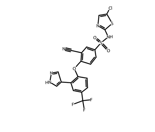 N#Cc1cc(S(=O)(=O)Nc2ncc(Cl)s2)ccc1Oc1ccc(C(F)(F)F)cc1-c1cn[nH]c1